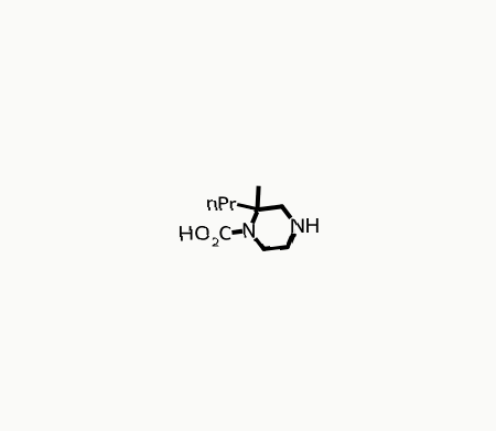 CCCC1(C)CNCCN1C(=O)O